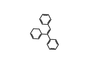 C1=CCCC(/C(=C\c2ccccc2)c2ccccc2)=C1